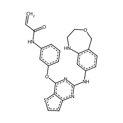 C=CC(=O)Nc1cccc(Oc2nc(Nc3ccc4c(c3)NCCOC4)nc3ccsc23)c1